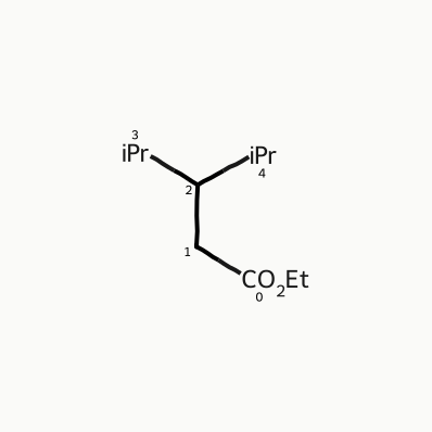 CCOC(=O)CC(C(C)C)C(C)C